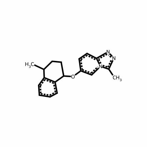 Cc1nnc2ccc(OC3CCC(C)c4ccccc43)cn12